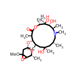 CC[C@H]1OC(=O)[C@H](C)[C@@H](O[C@H]2CC3(OC)OC3[C@@H](C)O2)[C@H](C)C[C@](C)(O)C[C@@H](C)CN(C)[C@H](C)[C@@H](O)[C@]1(C)O